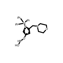 CC(C)[Si](C(C)C)(C(C)C)n1cc(OBO)cc1CN1CCOCC1